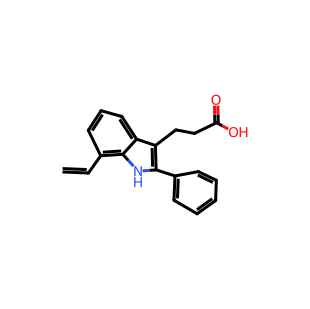 C=Cc1cccc2c(CCC(=O)O)c(-c3ccccc3)[nH]c12